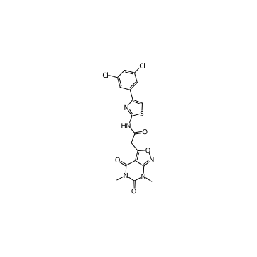 Cn1c(=O)c2c(CC(=O)Nc3nc(-c4cc(Cl)cc(Cl)c4)cs3)onc2n(C)c1=O